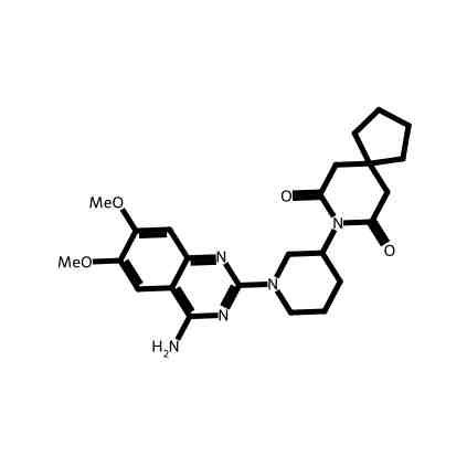 COc1cc2nc(N3CCCC(N4C(=O)CC5(CCCC5)CC4=O)C3)nc(N)c2cc1OC